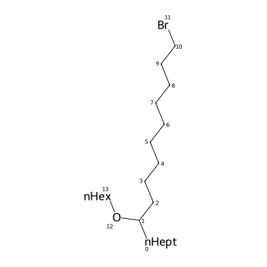 CCCCCCCC(CCCCCCCCCBr)OCCCCCC